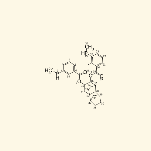 CPc1cccc(C(=O)OC2CC34CCC(C2OC(=O)c2cccc(PC)c2)C3C2CCC4C2)c1